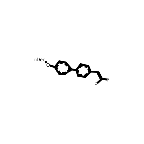 CCCCCCCCCCOc1ccc(-c2ccc(C=C(F)F)cc2)cc1